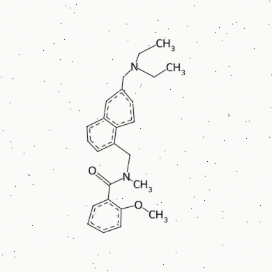 CCN(CC)Cc1ccc2c(CN(C)C(=O)c3ccccc3OC)cccc2c1